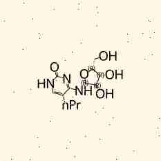 CCCc1c[nH]c(=O)nc1N[C@@H]1O[C@H](CO)[C@H](O)[C@H]1O